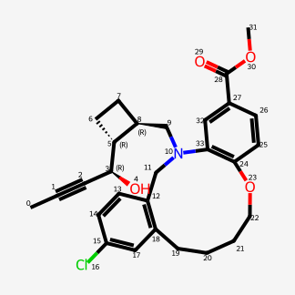 CC#C[C@H](O)[C@@H]1CC[C@H]1CN1Cc2ccc(Cl)cc2CCCCOc2ccc(C(=O)OC)cc21